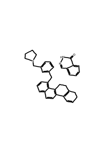 C1=CC2=C(CC1)CCc1c2ccc2cccc(Cc3cccc(CN4CCCC4)c3)c12.O=c1[nH]ncc2ccccc12